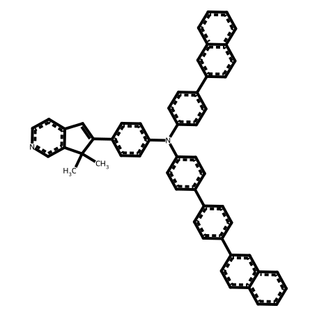 CC1(C)C(c2ccc(N(c3ccc(-c4ccc(-c5ccc6ccccc6c5)cc4)cc3)c3ccc(-c4ccc5ccccc5c4)cc3)cc2)=Cc2ccncc21